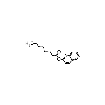 CCCCCCCC(=O)Oc1ccc2ccccc2n1